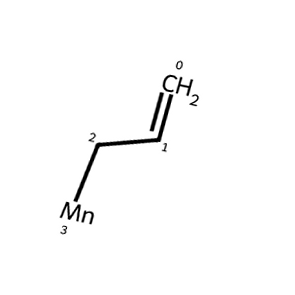 C=C[CH2][Mn]